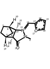 CN1C(=O)[C@H]2[C@@H]3CC[C@@H](C3)[C@H]2/[N+]1=C/c1ccco1